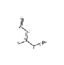 [CH]=CC=C(C)CC(C)C